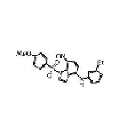 CCc1cccc(Nc2ccc(N=O)c3c2ccn3S(=O)(=O)c2ccc(OC)cc2)c1